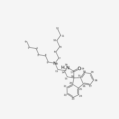 CCCCCCN(CCCCCC)CCCC1(C(N)=O)c2ccccc2-c2ccccc21